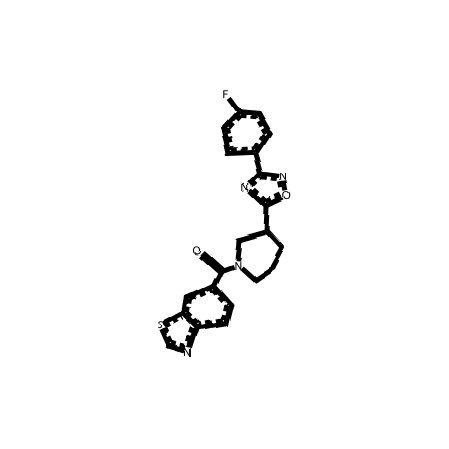 O=C(c1ccc2ncsc2c1)N1CCCC(c2nc(-c3ccc(F)cc3)no2)C1